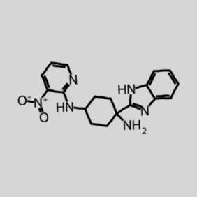 NC1(c2nc3ccccc3[nH]2)CCC(Nc2ncccc2[N+](=O)[O-])CC1